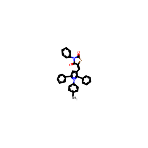 Bc1ccc(-n2c(-c3ccccc3)cc(C=C3SC(=O)N(c4ccccc4)C3=O)c2-c2ccccc2)cc1